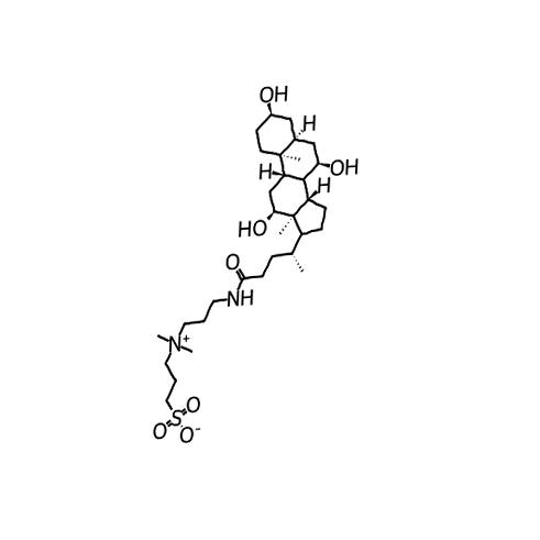 C[C@H](CCC(=O)NCCC[N+](C)(C)CCCS(=O)(=O)[O-])C1CC[C@H]2C3[C@H](O)C[C@@H]4C[C@H](O)CC[C@]4(C)[C@H]3C[C@H](O)[C@]12C